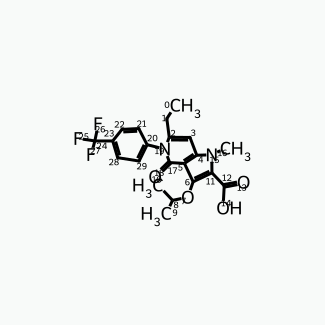 CCc1cc2c(c(OC(C)C)c(C(=O)O)n2C)c(=O)n1-c1ccc(C(F)(F)F)cc1